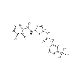 Nc1ncnc(C(=O)NC2CCN(CC(=O)Nc3cccc(C(F)(F)F)c3)C2)c1Cl